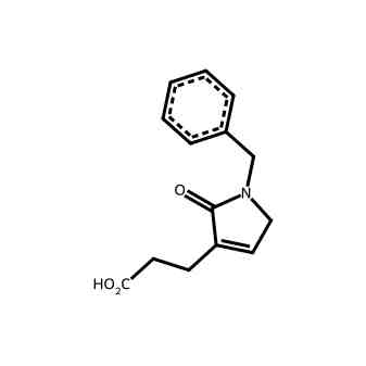 O=C(O)CCC1=CCN(Cc2ccccc2)C1=O